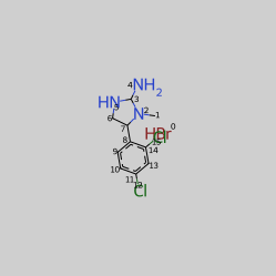 Br.CN1C(N)NCC1c1ccc(Cl)cc1Cl